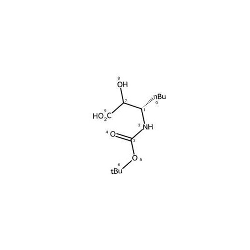 CCCC[C@H](NC(=O)OC(C)(C)C)C(O)C(=O)O